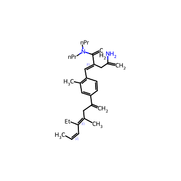 C=C(N)C/C(=C\c1ccc(C(=C)C/C(C)=C(/C=C\C)CC)cc1C)C(=C)N(CCC)CCC